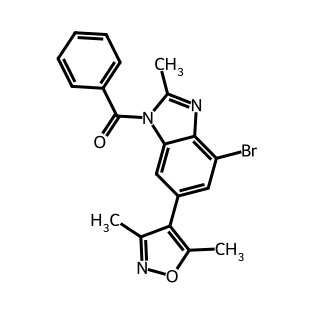 Cc1noc(C)c1-c1cc(Br)c2nc(C)n(C(=O)c3ccccc3)c2c1